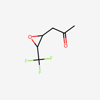 CC(=O)CC1OC1C(F)(F)F